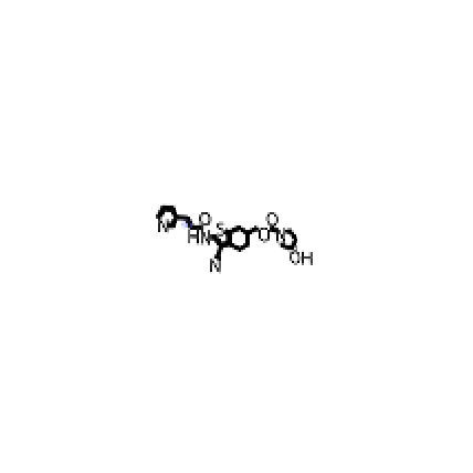 N#Cc1c(NC(=O)/C=C/c2cccnc2)sc2c1CCC(COC(=O)N1CC[C@@H](O)C1)C2